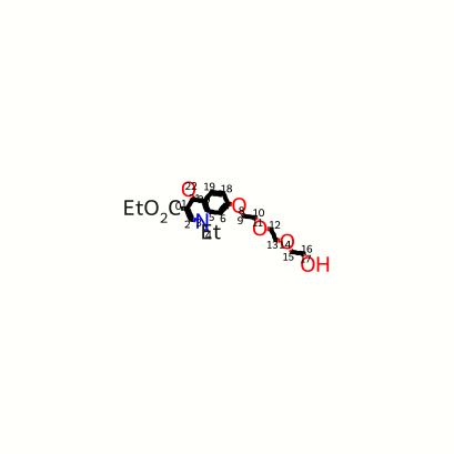 CCOC(=O)c1cn(CC)c2cc(OCCOCCOCCO)ccc2c1=O